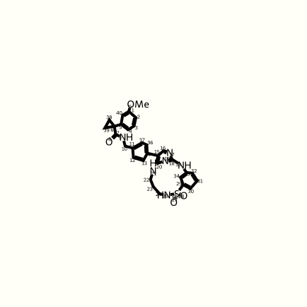 COc1cccc(C2(C(=O)NCc3ccc(-c4cnc5nc4NCCCNS(=O)(=O)c4cccc(c4)N5)cc3)CC2)c1